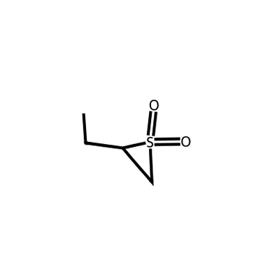 CCC1CS1(=O)=O